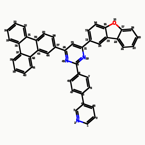 c1cncc(-c2ccc(-c3nc(-c4ccc5oc6ccccc6c5c4)cc(-c4ccc5c6ccccc6c6ccccc6c5c4)n3)cc2)c1